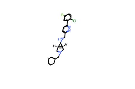 Fc1ccc(Cl)c(-c2ccc(CNC3[C@@H]4CN(CC5CCCCC5)C[C@@H]34)nn2)c1